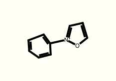 c1ccc(-[n+]2ccco2)cc1